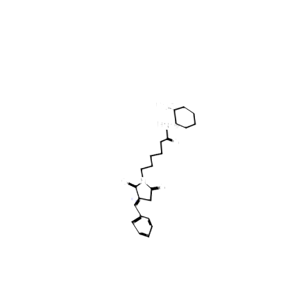 O=C(CCCCCN1C(=O)C/C(=C\c2ccccc2)C1=O)N[C@H]1CCCC[C@@H]1O